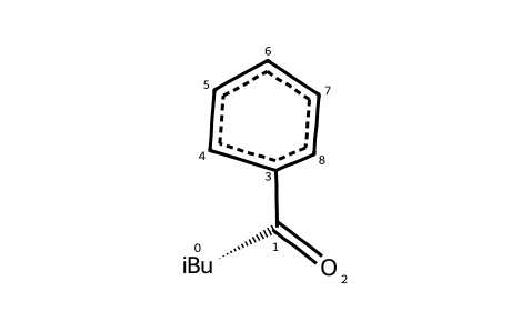 CC[C@@H](C)C(=O)c1ccccc1